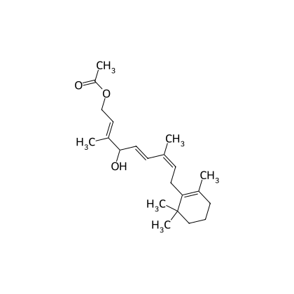 CC(=O)OCC=C(C)C(O)C=CC(C)=CCC1=C(C)CCCC1(C)C